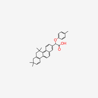 Cc1ccc(OC(C(=O)O)c2ccc3c4c(ccc3c2)C2=C(CC(C)(C)C=C2)CC4(C)C)cc1